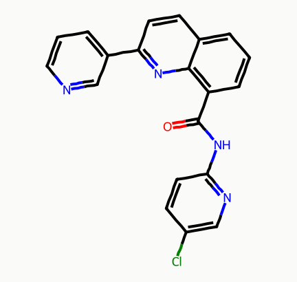 O=C(Nc1ccc(Cl)cn1)c1cccc2ccc(-c3cccnc3)nc12